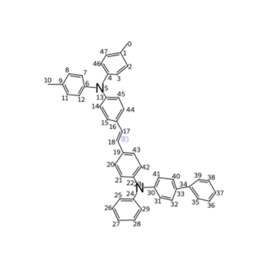 Cc1ccc(N(c2ccc(C)cc2)c2ccc(/C=C/c3ccc(N(c4ccccc4)c4ccc(-c5ccccc5)cc4)cc3)cc2)cc1